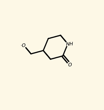 [O]CC1CCNC(=O)C1